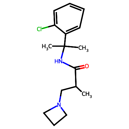 CC(CN1CCC1)C(=O)NC(C)(C)c1ccccc1Cl